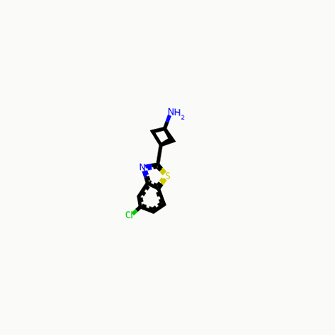 NC12CC(c3nc4cc(Cl)ccc4s3)(C1)C2